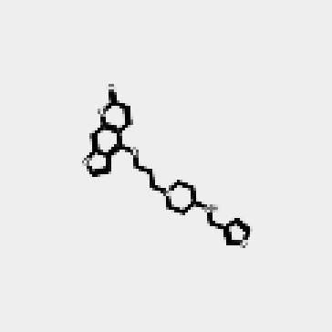 O=c1ccc2c(OCCCN3CCC(NCc4ccoc4)CC3)c3ccoc3cc2o1